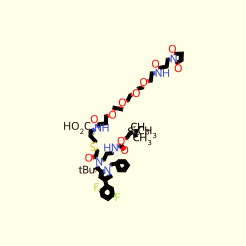 CC(C)(C)[C@H](c1cc(-c2cc(F)ccc2F)cn1Cc1ccccc1)N(CCCNC(=O)OCC[Si](C)(C)C)C(=O)CSCC[C@H](NC(=O)CCOCCOCCOCCOCCNC(=O)CCN1C(=O)C=CC1=O)C(=O)O